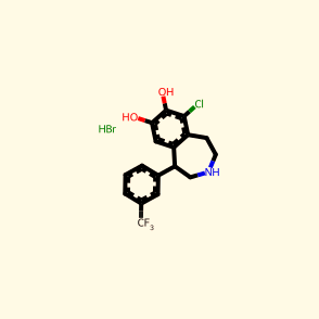 Br.Oc1cc2c(c(Cl)c1O)CCNCC2c1cccc(C(F)(F)F)c1